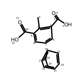 Cc1c(C(=O)O)cccc1C(=O)O.c1cc2ccc1CC2